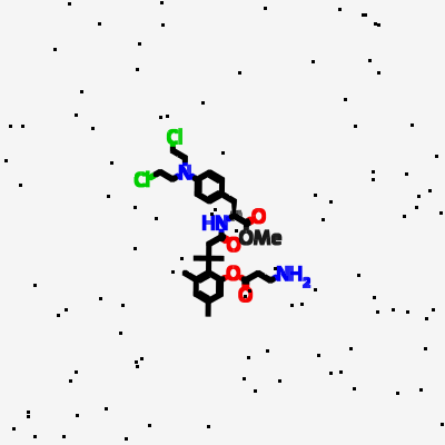 COC(=O)[C@H](Cc1ccc(N(CCCl)CCCl)cc1)NC(=O)CC(C)(C)c1c(C)cc(C)cc1OC(=O)CCN